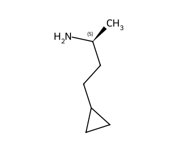 C[C@H](N)CCC1CC1